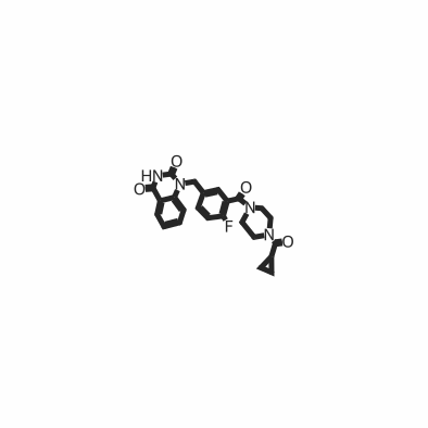 O=C(c1cc(Cn2c(=O)[nH]c(=O)c3ccccc32)ccc1F)N1CCN(C(=O)C2CC2)CC1